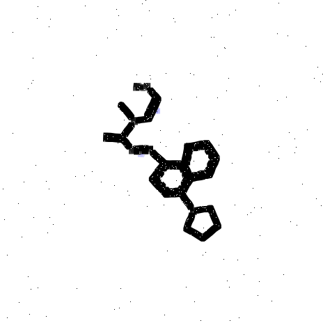 C=C(/N=N/c1ccc(N2CCCC2)c2ccccc12)N(C)/C=C\NC